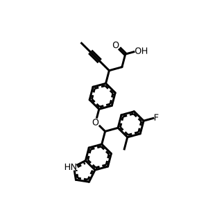 CC#CC(CC(=O)O)c1ccc(OC(c2ccc3cc[nH]c3c2)c2ccc(F)cc2C)cc1